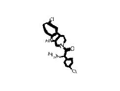 NC(C(=O)N1CCc2c([nH]c3ccc(Cl)cc23)C1)c1ccc(Cl)cc1